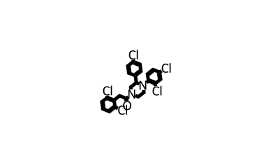 O=C(Cc1c(Cl)cccc1Cl)N1CCN(c2ccc(Cl)cc2Cl)C(c2ccc(Cl)cc2)C1